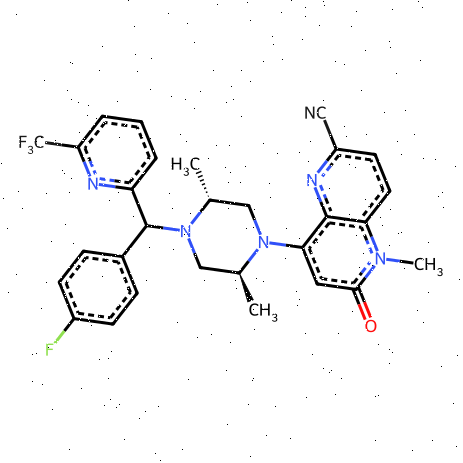 C[C@@H]1CN(c2cc(=O)n(C)c3ccc(C#N)nc23)[C@@H](C)CN1C(c1ccc(F)cc1)c1cccc(C(F)(F)F)n1